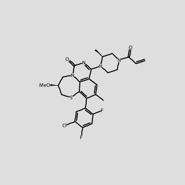 C=CC(=O)N1CCN(c2nc(=O)n3c4c(c(-c5cc(Cl)c(F)cc5F)c(C)cc24)SC[C@@H](OC)C3)[C@@H](C)C1